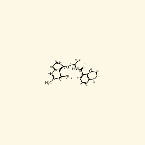 Cc1cc(N)c2c(OCC(NC(=O)c3cccc4c3OCCO4)C(C)C)cccc2n1